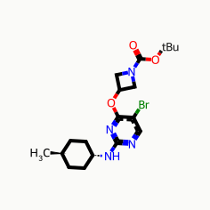 CC(C)(C)OC(=O)N1CC(Oc2nc(N[C@H]3CC[C@H](C)CC3)ncc2Br)C1